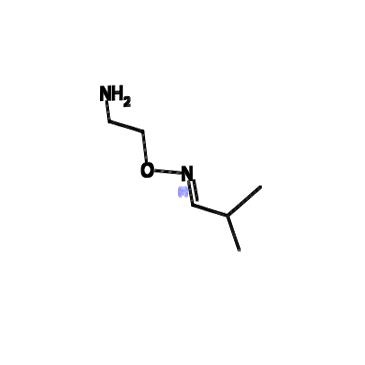 CC(C)/C=N/OCCN